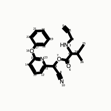 C#CCNC(C(=O)OC(C#N)c1cccc(Oc2ccccc2)n1)C(C)C